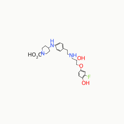 O=C(O)N1CCC(Nc2ccc(CCNC[C@H](O)COc3ccc(O)c(F)c3)cc2)CC1